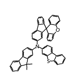 CC1(C)c2ccccc2-c2ccc(N(c3ccc4c(c3)C3(c5ccccc5Oc5ccccc53)c3ccccc3-4)c3ccc4c(c3)sc3ccccc34)cc21